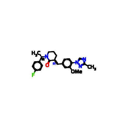 COc1cc(/C=C2\CCCN([C@@H](C)c3ccc(F)cc3)C2=O)ccc1-n1cnc(C)n1